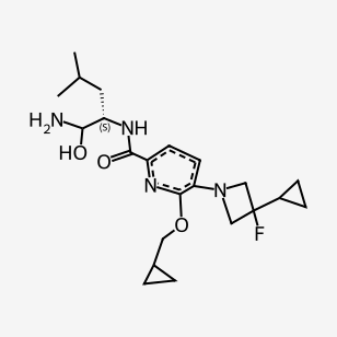 CC(C)C[C@H](NC(=O)c1ccc(N2CC(F)(C3CC3)C2)c(OCC2CC2)n1)C(N)O